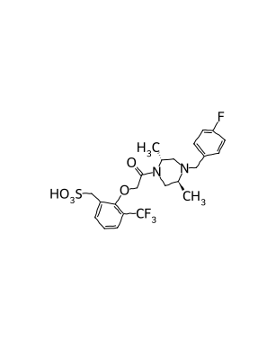 C[C@@H]1CN(Cc2ccc(F)cc2)[C@@H](C)CN1C(=O)COc1c(CS(=O)(=O)O)cccc1C(F)(F)F